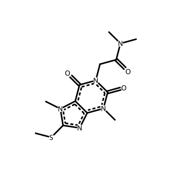 CSc1nc2c(c(=O)n(CC(=O)N(C)C)c(=O)n2C)n1C